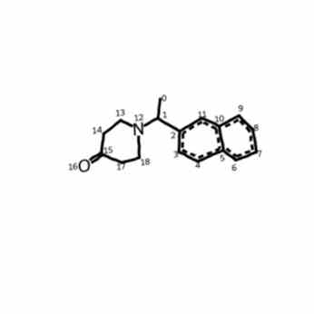 CC(c1ccc2ccccc2c1)N1CCC(=O)CC1